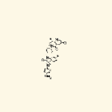 Nc1ccc(N2CC3(C2)C(=O)N(C[C@H]2CC[C@H](NC(=O)c4cc(Cl)cnc4C(F)F)CC2)c2cc(F)ccc23)nc1